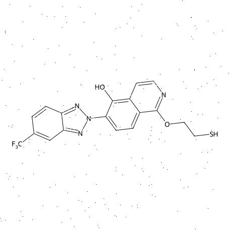 Oc1c(-n2nc3ccc(C(F)(F)F)cc3n2)ccc2c(OCCS)nccc12